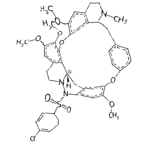 COc1cc2c3cc1Oc1ccc(cc1)CC1c4cc(c(OC)cc4CCN1C)Oc1c(OC)c(OC)cc4c1[C@H](C3)N(CC4)N2S(=O)(=O)C1C=CC(Cl)=CC1